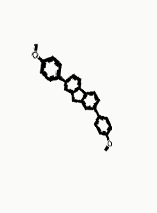 COc1ccc(-c2ccc3c(c2)Cc2cc(-c4ccc(OC)cc4)ccc2-3)cc1